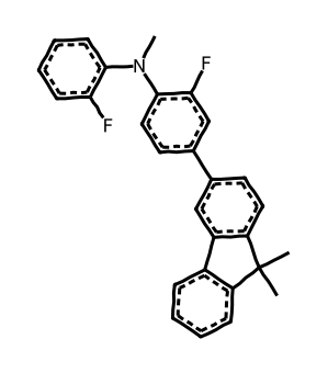 CN(c1ccccc1F)c1ccc(-c2ccc3c(c2)-c2ccccc2C3(C)C)cc1F